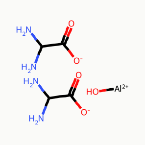 NC(N)C(=O)[O-].NC(N)C(=O)[O-].[OH][Al+2]